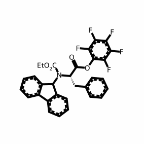 CCOC(=O)N(C1c2ccccc2-c2ccccc21)[C@@H](Cc1ccccc1)C(=O)Oc1c(F)c(F)c(F)c(F)c1F